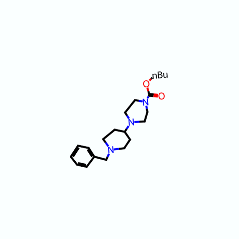 CCCCOC(=O)N1CCN(C2CCN(Cc3ccccc3)CC2)CC1